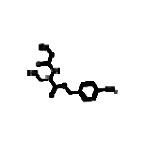 CC(C)(C)OC(=O)N[C@@H](CO)C(=O)OCc1ccc([N+](=O)[O-])cc1